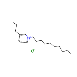 CCCCCCCCCC[n+]1cccc(CCC)c1.[Cl-]